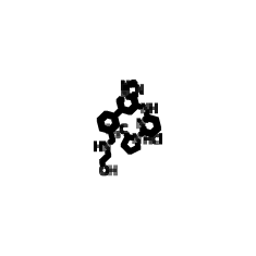 CC1CCCN1c1cccc(Nc2cc(-c3cccc(CNCCO)c3)cn3ncnc23)n1.Cl